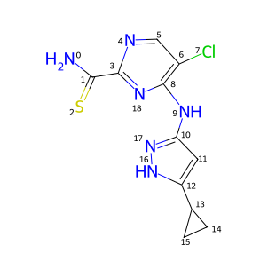 NC(=S)c1ncc(Cl)c(Nc2cc(C3CC3)[nH]n2)n1